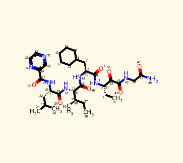 CC[C@H](NC(=O)[C@H](CC1CCCCC1)NC(=O)[C@@H](NC(=O)[C@H](CC(C)C)NC(=O)c1cnccn1)[C@H](C)CC)C(=O)C(=O)NCC(N)=O